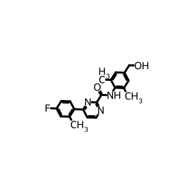 Cc1cc(F)ccc1-c1ccnc(C(=O)Nc2c(C)cc(CO)cc2C)n1